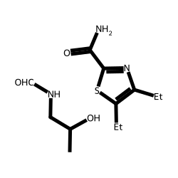 CC(O)CNC=O.CCc1nc(C(N)=O)sc1CC